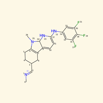 C/N=C/C1CCC2=C(C1)C1=CC=C(Nc3cc(F)c(F)c(F)c3)NC1N2C